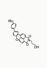 CC(C)(C)c1ccc(-c2ccc3oc4ccc5c(=O)n(CCCO)c(=O)c6ccc(c3c2)c4c56)cc1